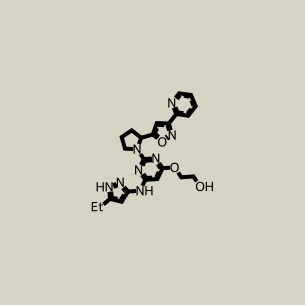 CCc1cc(Nc2cc(OCCO)nc(N3CCCC3c3cc(-c4ccccn4)no3)n2)n[nH]1